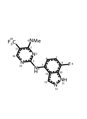 CNc1nc(Nc2ccc(F)c3[nH]ncc23)ncc1C(F)(F)F